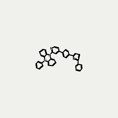 c1ccc(-c2cccc(-c3ccc(-c4ccnc(N5c6ccccc6N(c6ccccc6)c6ccccc65)c4)cc3)n2)cc1